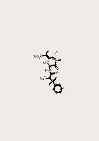 CCOC(=O)C(C)=C[C@H](C(C)C)N(C)C(=O)[C@@H](NC(=O)C(SC)C(C)(C)c1ccccc1)C(C)(C)C